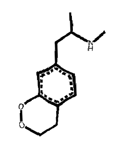 CNC(C)Cc1ccc2c(c1)OOCC2